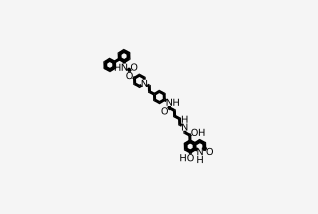 O=C(CCCCNCC(O)c1ccc(O)c2[nH]c(=O)ccc12)NC1CCC(CCN2CCC(OC(=O)Nc3ccccc3-c3ccccc3)CC2)CC1